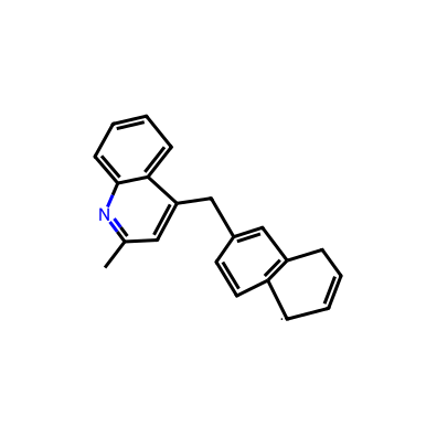 Cc1cc(Cc2ccc3c(c2)CC=C[CH]3)c2ccccc2n1